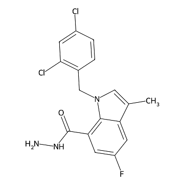 Cc1cn(Cc2ccc(Cl)cc2Cl)c2c(C(=O)NN)cc(F)cc12